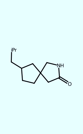 CC(C)CC1CCC2(CNC(=O)C2)C1